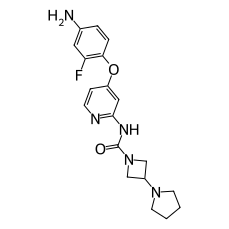 Nc1ccc(Oc2ccnc(NC(=O)N3CC(N4CCCC4)C3)c2)c(F)c1